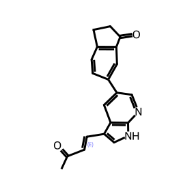 CC(=O)/C=C/c1c[nH]c2ncc(-c3ccc4c(c3)C(=O)CC4)cc12